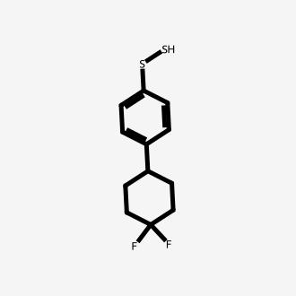 FC1(F)CCC(c2ccc(SS)cc2)CC1